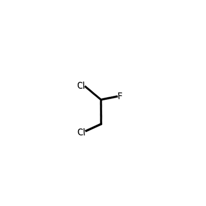 FC(Cl)CCl